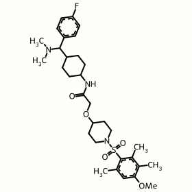 COc1cc(C)c(S(=O)(=O)N2CCC(OCC(=O)NC3CCC(C(c4ccc(F)cc4)N(C)C)CC3)CC2)c(C)c1C